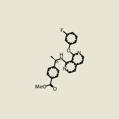 COC(=O)c1ccc([C@@H](C)Nc2nccc3ccnc(Oc4cccc(F)c4)c23)cc1